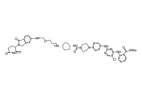 CNC(=O)c1ccccc1Nc1nc(Nc2ccc(N3CCN(C(=O)N[C@H]4CC[C@@H](NCCCOCC#Cc5ccc6c(c5)CN(C5CCC(=O)NC5=O)C6=O)CC4)CC3)cc2)ncc1Cl